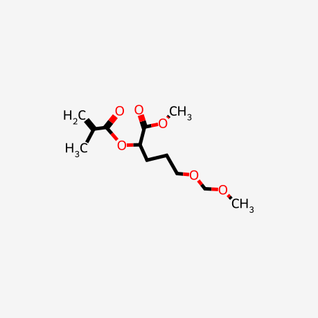 C=C(C)C(=O)OC(CCCOCOC)C(=O)OC